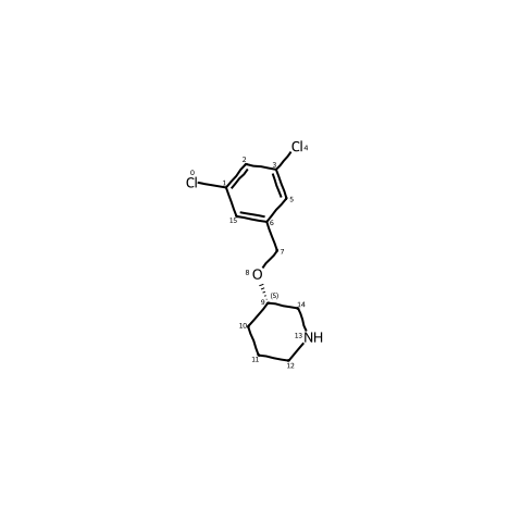 Clc1cc(Cl)cc(CO[C@H]2CCCNC2)c1